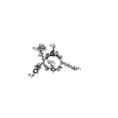 CCCCOc1c2cccc1C(=O)NCCN(CCOS(=O)(=O)c1ccc(C)cc1)CC(CCCCNC(=O)OC(C)(C)C)NC(=O)c1cccc(c1OCCCC)C(=O)NCCN(CCOCCOCCOC)CCNC2=O